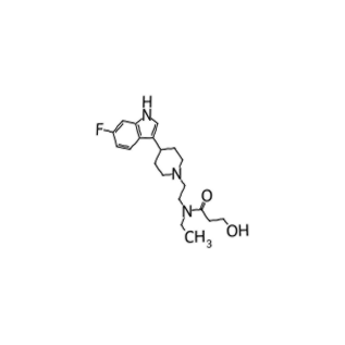 CCN(CCN1CCC(c2c[nH]c3cc(F)ccc23)CC1)C(=O)CCO